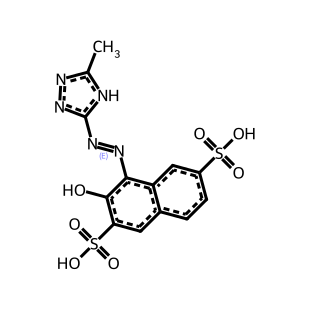 Cc1nnc(/N=N/c2c(O)c(S(=O)(=O)O)cc3ccc(S(=O)(=O)O)cc23)[nH]1